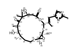 CC(=Cc1csc(C)n1)[C@@H]1C[C@H]2O[C@H]2CCC[C@H](C)[C@H](O)[C@@H](C)C(=O)C(C)(C)[C@@H](O)CC(=O)O1